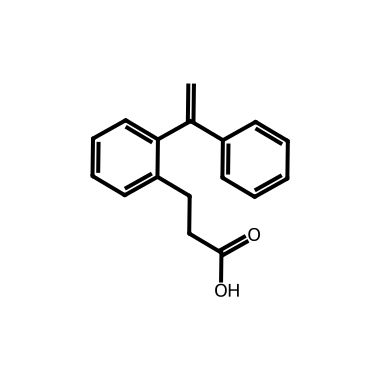 C=C(c1ccccc1)c1ccccc1CCC(=O)O